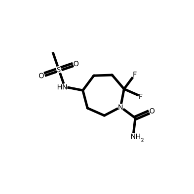 CS(=O)(=O)NC1CCN(C(N)=O)C(F)(F)CC1